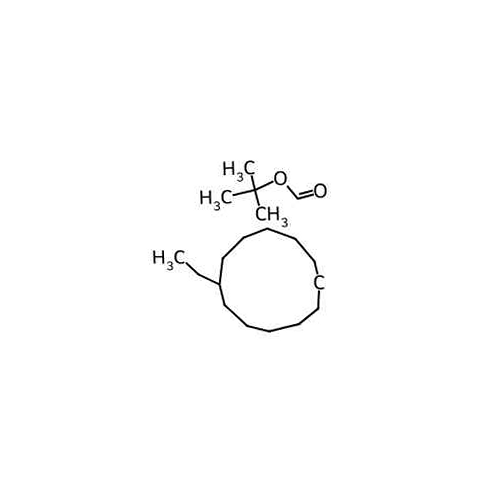 CC(C)(C)OC=O.CCC1CCCCCCCCCCC1